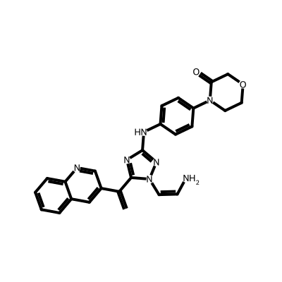 C=C(c1cnc2ccccc2c1)c1nc(Nc2ccc(N3CCOCC3=O)cc2)nn1/C=C\N